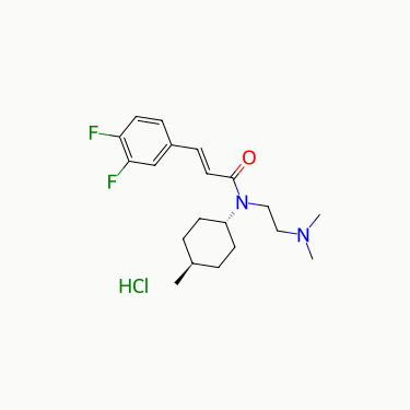 CN(C)CCN(C(=O)/C=C/c1ccc(F)c(F)c1)[C@H]1CC[C@H](C)CC1.Cl